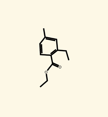 CCOC(=O)c1ccc(C)cc1CC